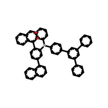 c1ccc(-c2cc(-c3ccccc3)cc(-c3ccc(N(c4ccccc4)c4cc(-c5cccc6ccccc56)ccc4-c4cccc5ccccc45)cc3)c2)cc1